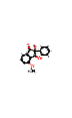 COc1cccc2c1C(=O)C(Br)(c1ccccc1)C2=O